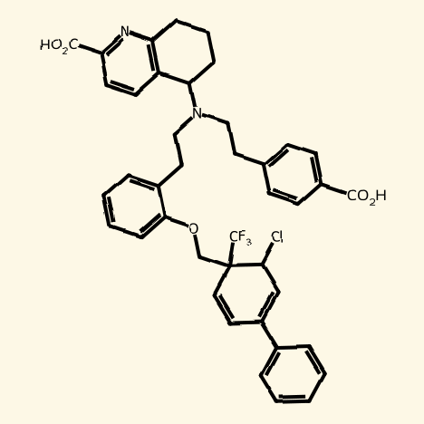 O=C(O)c1ccc(CCN(CCc2ccccc2OCC2(C(F)(F)F)C=CC(c3ccccc3)=CC2Cl)C2CCCc3nc(C(=O)O)ccc32)cc1